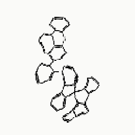 c1ccc2c(c1)Sc1ccc(-c3ccccc3-c3cccc4c3-c3ccccc3C43c4ccccc4-c4ccc5ccccc5c43)c3cccc-2c13